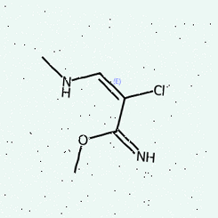 CN/C=C(/Cl)C(=N)OC